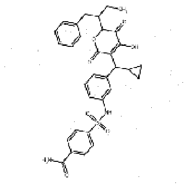 CCC(Cc1ccccc1)C1OC(=O)C(C(c2cccc(NS(=O)(=O)c3ccc(C(N)=O)cc3)c2)C2CC2)=C(O)C1=O